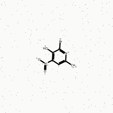 Cc1cc([N+](=O)[O-])c(O)c(Br)n1